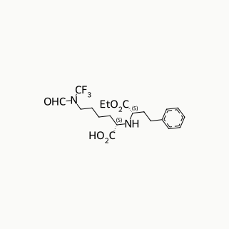 CCOC(=O)[C@H](CCc1ccccc1)N[C@@H](CCCCN(C=O)C(F)(F)F)C(=O)O